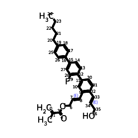 C=C(C)C(=O)OC/C=C/c1cc(-c2ccc(-c3ccc(CCCCC)cc3)cc2F)ccc1/C=C/CO